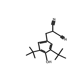 CC(C)(C)c1cc(CC(C#N)C#N)cc(C(C)(C)C)c1O